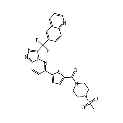 CS(=O)(=O)N1CCN(C(=O)c2ccc(-c3ccc4nnc(C(F)(F)c5ccc6ncccc6c5)n4n3)s2)CC1